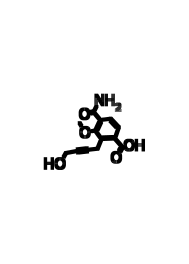 COc1c(C(N)=O)ccc(C(=O)O)c1CC#CCO